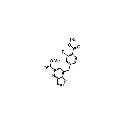 COC(=O)c1cc(Cc2ccc(C(=O)OC(C)(C)C)c(F)c2)c2occc2n1